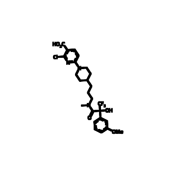 COc1cccc(C(O)(C(=O)N(C)CCCC2CCN(c3ccc(C(=O)O)c(Cl)n3)CC2)C(F)(F)F)c1